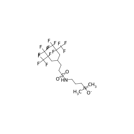 C[N+](C)([O-])CCCNS(=O)(=O)CCC(CC(F)(C(F)(F)F)C(F)(F)F)CC(F)(C(F)(F)F)C(F)(F)F